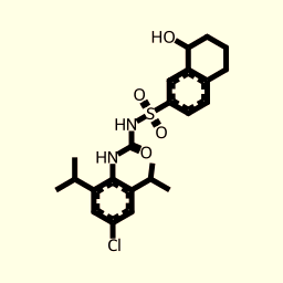 CC(C)c1cc(Cl)cc(C(C)C)c1NC(=O)NS(=O)(=O)c1ccc2c(c1)C(O)CCC2